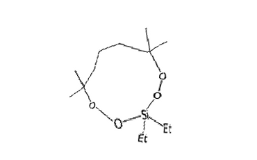 CC[Si]1(CC)OOC(C)(C)CCC(C)(C)OO1